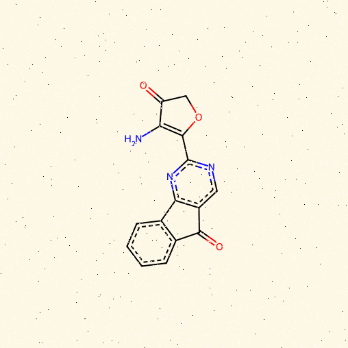 NC1=C(c2ncc3c(n2)-c2ccccc2C3=O)OCC1=O